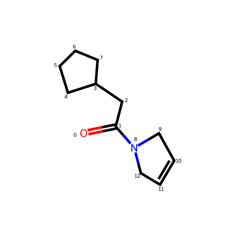 O=C(CC1CCCC1)N1CC=CC1